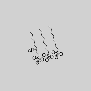 CCCCCCCCS(=O)(=O)[O-].CCCCCCCCS(=O)(=O)[O-].CCCCCCCCS(=O)(=O)[O-].[Al+3]